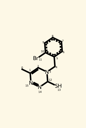 CC1=CN(Cc2ccccc2Br)C(S)N=N1